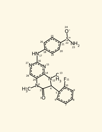 CN1C(=O)C(c2ccccc2F)N(C)c2nc(Nc3ccc([S+](N)[O-])cc3)ncc21